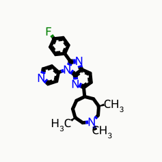 C[C@@H]1CC(c2ccc3nc(-c4ccc(F)cc4)n(-c4ccncc4)c3n2)CC[C@H](C)CN(C)C1